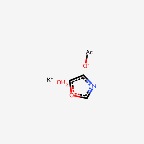 CC(=O)[O-].O.[K+].c1cocn1